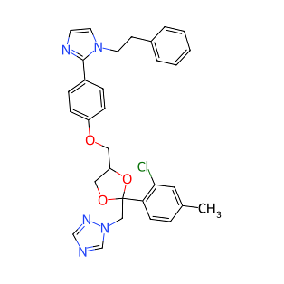 Cc1ccc(C2(Cn3cncn3)OCC(COc3ccc(-c4nccn4CCc4ccccc4)cc3)O2)c(Cl)c1